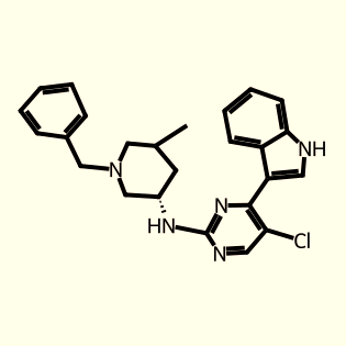 CC1C[C@H](Nc2ncc(Cl)c(-c3c[nH]c4ccccc34)n2)CN(Cc2ccccc2)C1